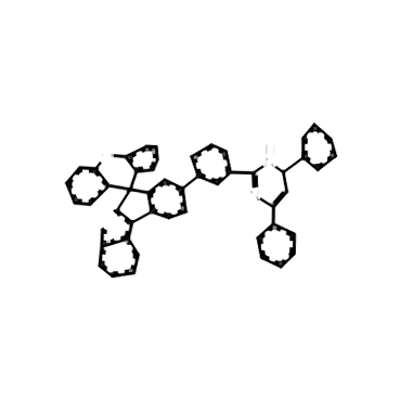 C1=C(c2ccccc2)N=C(c2cccc(-c3ccc4c(c3)C3(c5ccccc5Oc5ccccc53)c3ccc5ccccc5c3-4)c2)NC1c1ccccc1